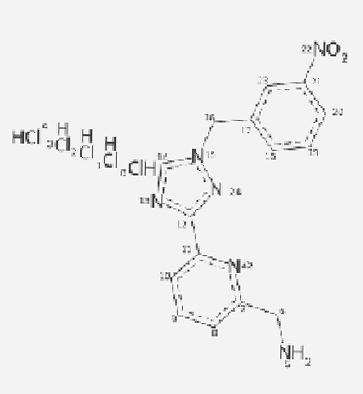 Cl.Cl.Cl.Cl.Cl.NCc1cccc(-c2ncn(Cc3cccc([N+](=O)[O-])c3)n2)n1